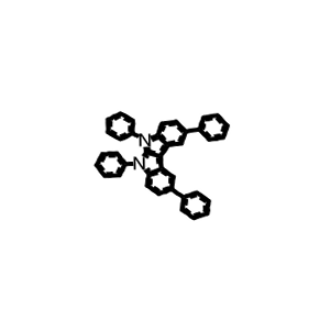 c1ccc(-c2ccc3c(c2)c2c4cc(-c5ccccc5)ccc4n(-c4ccccc4)c2n3-c2ccccc2)cc1